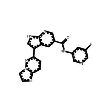 O=C(Nc1cncc(F)c1)c1cnc2[nH]cc(-c3ccc4nccn4n3)c2c1